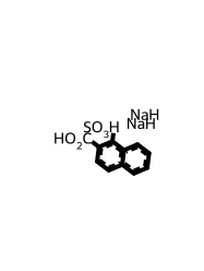 O=C(O)c1ccc2ccccc2c1S(=O)(=O)O.[NaH].[NaH]